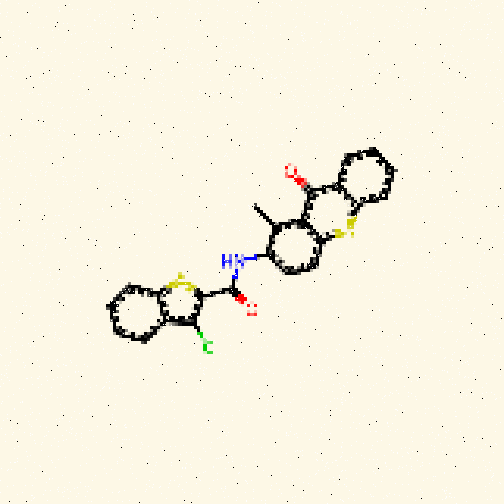 Cc1c(NC(=O)c2sc3ccccc3c2Cl)ccc2sc3ccccc3c(=O)c12